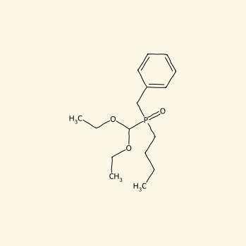 CCCCP(=O)(Cc1ccccc1)C(OCC)OCC